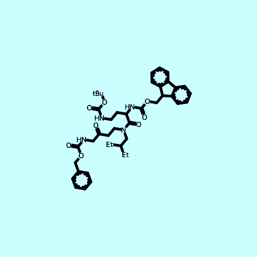 CCC(CC)CN(CCC(=O)CNC(=O)OCc1ccccc1)C(=O)C(CCNC(=O)OC(C)(C)C)NC(=O)OCC1c2ccccc2-c2ccccc21